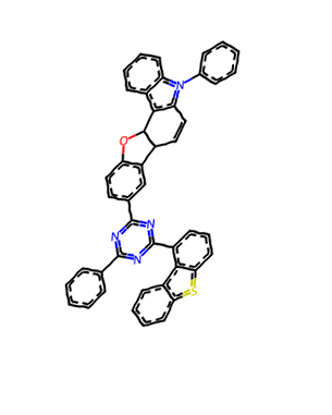 C1=CC2c3cc(-c4nc(-c5ccccc5)nc(-c5cccc6sc7ccccc7c56)n4)ccc3OC2c2c1n(-c1ccccc1)c1ccccc21